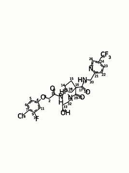 O=C(COc1ccc(Cl)c(F)c1)N[PH]12CCC(C(=O)NCc3ccc(C(F)(F)F)cn3)(C1)C(=O)N2CCO